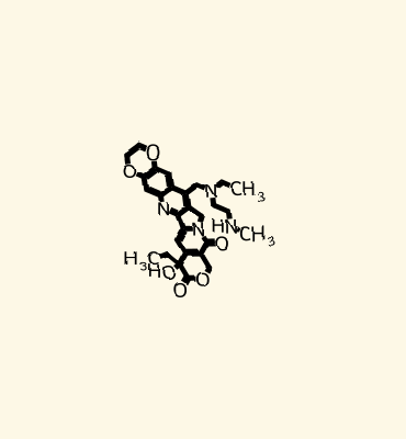 CCN(CCNC)Cc1c2c(nc3cc4c(cc13)OCCO4)-c1cc3c(c(=O)n1C2)COC(=O)C3(O)CC